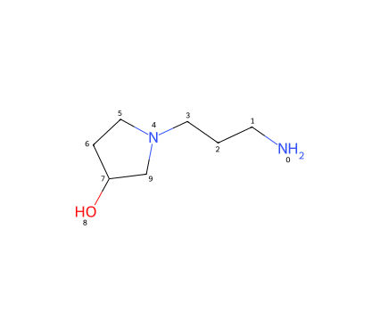 NCCCN1CCC(O)C1